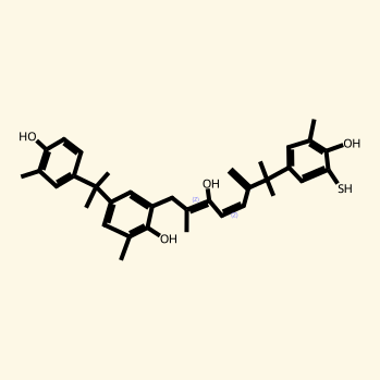 C=C(/C=C\C(O)=C(/C)Cc1cc(C(C)(C)c2ccc(O)c(C)c2)cc(C)c1O)C(C)(C)c1cc(C)c(O)c(S)c1